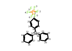 F[P-](F)(F)(F)(F)F.c1ccc([Se+](c2ccccc2)c2ccccc2)cc1